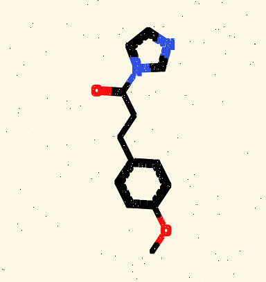 COc1ccc(CCC(=O)n2ccnc2)cc1